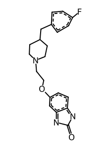 O=C1N=c2ccc(OCCN3CCC(Cc4ccc(F)cc4)CC3)cc2=N1